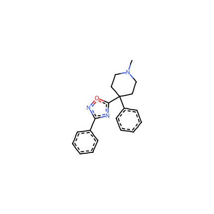 CN1CCC(c2ccccc2)(c2nc(-c3ccccc3)no2)CC1